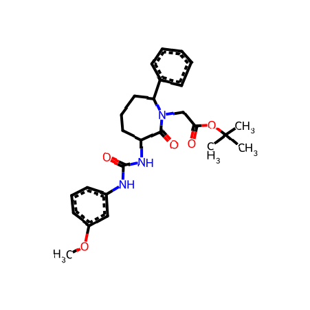 COc1cccc(NC(=O)NC2CCCC(c3ccccc3)N(CC(=O)OC(C)(C)C)C2=O)c1